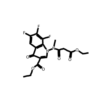 CCOC(=O)CC(=O)N(C)n1cc(C(=O)OCC)c(=O)c2cc(F)c(F)c(F)c21